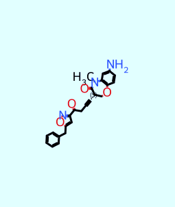 CN1C(=O)[C@@H](C#CCC(=O)c2cc(Cc3ccccc3)on2)COc2ccc(N)cc21